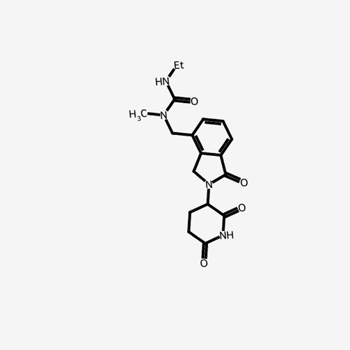 CCNC(=O)N(C)Cc1cccc2c1CN(C1CCC(=O)NC1=O)C2=O